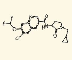 O=C(NC1CCN(CC2CC2)C1=O)c1cnc2cc(OC(F)F)c(Cl)cc2c1